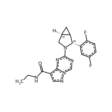 CCNC(=O)c1cnn2cnc(N3C[C@H]4CC4[C@@H]3c3cc(F)ccc3F)nc12